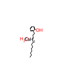 CCCCCCCCCCCCc1ccccc1O.O.[CaH2]